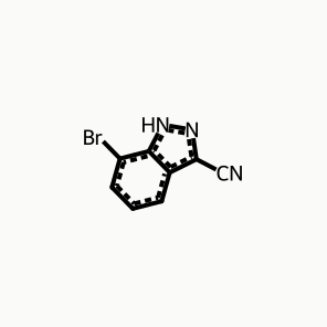 N#Cc1n[nH]c2c(Br)cccc12